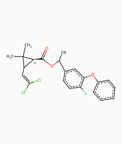 CC1(C)C(C=C(Cl)Cl)[C@@H]1C(=O)OC(C#N)c1ccc(F)c(Oc2ccccc2)c1